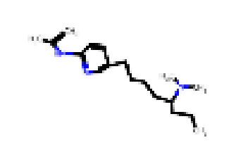 C=C(C)Nc1ccc(CCCCC(CCC)N(C)C)cn1